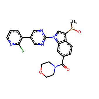 C[S+]([O-])c1cn(-c2ncc(-c3cccnc3F)cn2)c2cc(C(=O)N3CCOCC3)ccc12